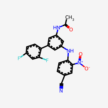 CC(=O)Nc1cc(Nc2ccc(C#N)cc2[N+](=O)[O-])cc(-c2ccc(F)cc2F)c1